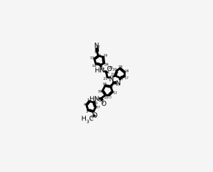 COc1cccc(NC(=O)c2ccc(-c3nc4ccccc4n3CC(=O)Nc3ccc(C#N)cc3)cc2)c1